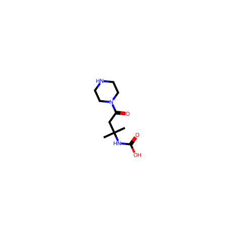 CC(C)(CC(=O)N1CCNCC1)NC(=O)O